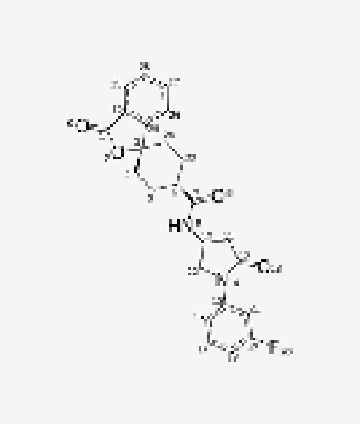 O=C1O[C@]2(CC[C@H](C(=O)NC3CC(=O)N(c4cccc(F)c4)C3)CC2)c2ccccc21